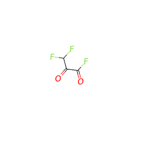 O=C(F)C(=O)C(F)F